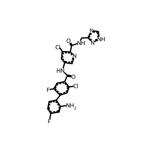 Nc1cc(F)ccc1-c1cc(Cl)c(C(=O)Nc2cnc(C(=O)NCc3nc[nH]n3)c(Cl)c2)cc1F